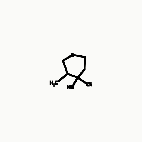 CC1CSCCC1(O)C#N